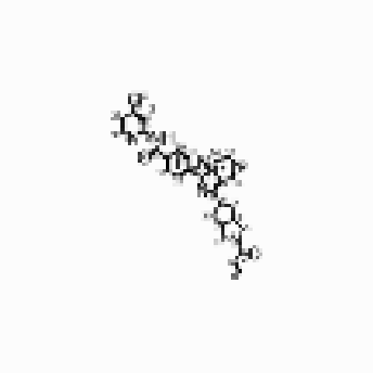 C=CC(=O)N1CC2CC(C3=C4C=NC=C[N+]4(N)C(c4ccc(C(=O)Nc5cc(C(F)(F)F)ccn5)cc4)=N3)CC2C1